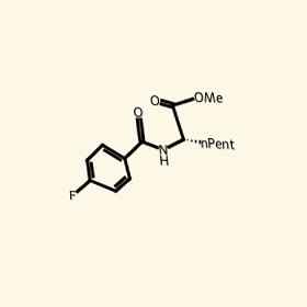 CCCCC[C@H](NC(=O)c1ccc(F)cc1)C(=O)OC